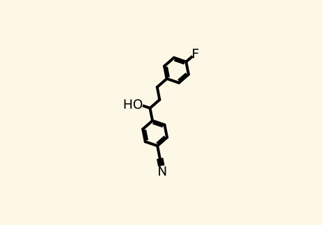 N#Cc1ccc(C(O)CCc2ccc(F)cc2)cc1